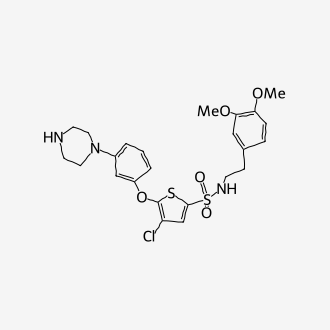 COc1ccc(CCNS(=O)(=O)c2cc(Cl)c(Oc3cccc(N4CCNCC4)c3)s2)cc1OC